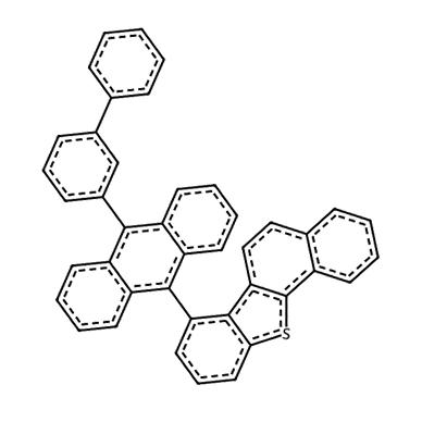 c1ccc(-c2cccc(-c3c4ccccc4c(-c4cccc5sc6c7ccccc7ccc6c45)c4ccccc34)c2)cc1